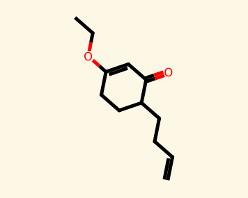 C=CCCC1CCC(OCC)=CC1=O